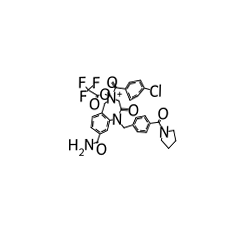 NC(=O)c1ccc2c(c1)N(Cc1ccc(C(=O)N3CCCC3)cc1)C(=O)C[N+](OC(=O)C(F)(F)F)(C(=O)c1ccc(Cl)cc1)C2